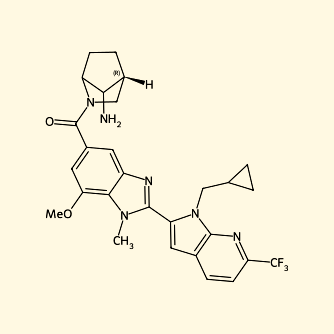 COc1cc(C(=O)N2C[C@H]3CCC2C3N)cc2nc(-c3cc4ccc(C(F)(F)F)nc4n3CC3CC3)n(C)c12